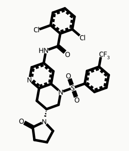 O=C(Nc1cnc2c(c1)N(S(=O)(=O)c1cccc(C(F)(F)F)c1)C[C@H](N1CCCC1=O)C2)c1c(Cl)cccc1Cl